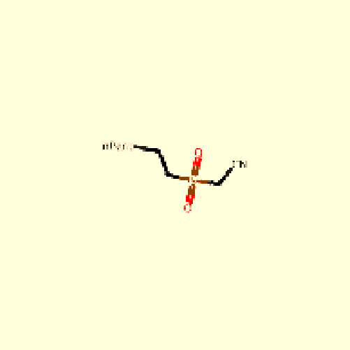 CCCCCCCS(=O)(=O)CC#N